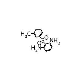 Cc1cccc(S(=O)(=O)c2c(N)cccc2N)c1